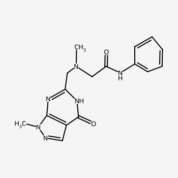 CN(CC(=O)Nc1ccccc1)Cc1nc2c(cnn2C)c(=O)[nH]1